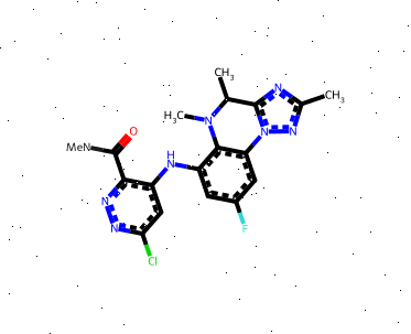 CNC(=O)c1nnc(Cl)cc1Nc1cc(F)cc2c1N(C)C(C)c1nc(C)nn1-2